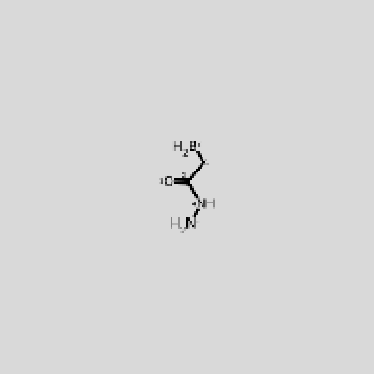 BCC(=O)NN